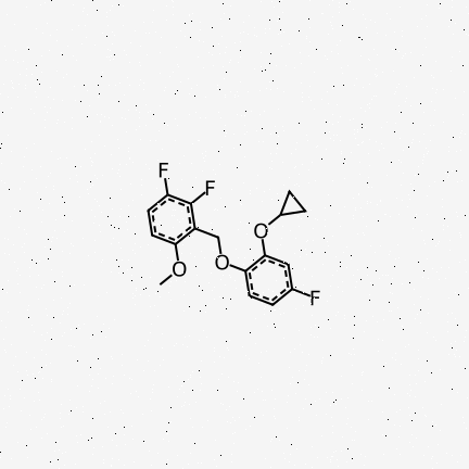 COc1ccc(F)c(F)c1COc1ccc(F)cc1OC1CC1